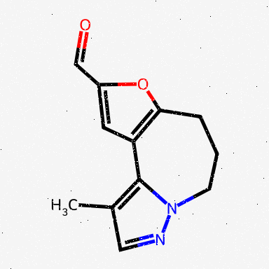 Cc1cnn2c1-c1cc(C=O)oc1CCC2